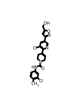 Cc1ccc(NC(=O)N2CC=C(c3ncc(-c4cc(CO)on4)cc3Cl)CC2)cc1Cl